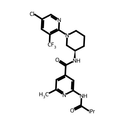 Cc1cc(C(=O)N[C@@H]2CCCN(c3ncc(Cl)cc3C(F)(F)F)C2)cc(NC(=O)C(C)C)n1